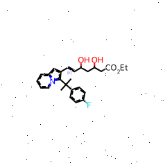 CCOC(=O)CC(O)CC(O)/C=C/c1cc2ccccn2c1C(C)(C)c1ccc(F)cc1